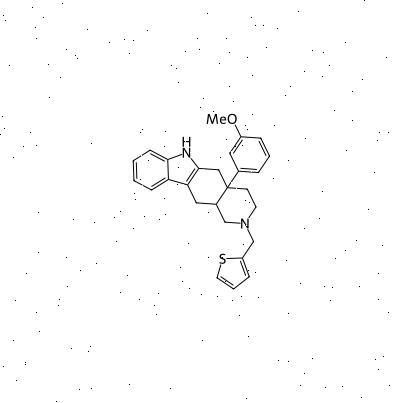 COc1cccc(C23CCN(Cc4cccs4)CC2Cc2c([nH]c4ccccc24)C3)c1